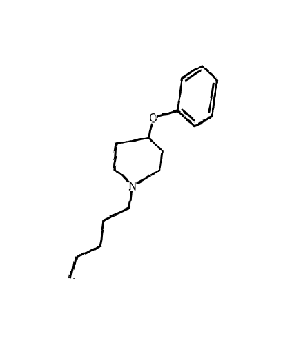 [CH2]CCCCN1CCC(Oc2ccccc2)CC1